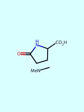 CNC.O=C1CCC(C(=O)O)N1